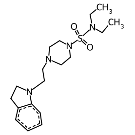 CCN(CC)S(=O)(=O)N1CCN(CCN2CCc3ccccc32)CC1